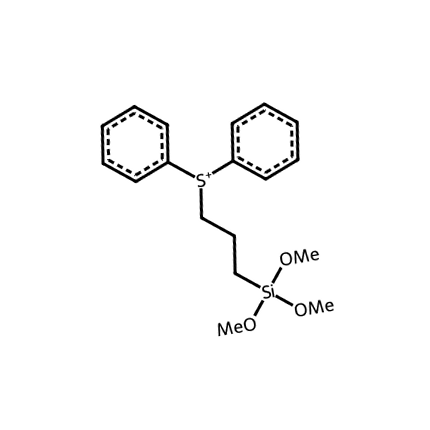 CO[Si](CCC[S+](c1ccccc1)c1ccccc1)(OC)OC